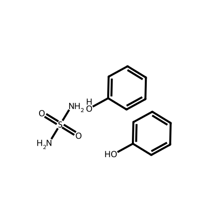 NS(N)(=O)=O.Oc1ccccc1.Oc1ccccc1